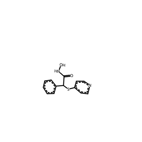 O=C(NO)C(Sc1ccncc1)c1ccccc1